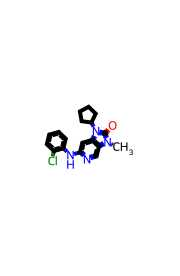 Cn1c(=O)n(C2CCCC2)c2cc(Nc3ccccc3Cl)ncc21